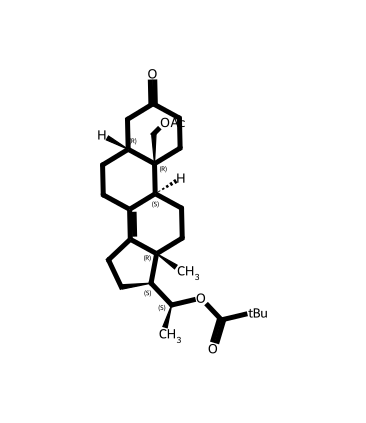 CC(=O)OC[C@]12CCC(=O)C[C@H]1CCC1=C3CC[C@H]([C@H](C)OC(=O)C(C)(C)C)[C@@]3(C)CC[C@@H]12